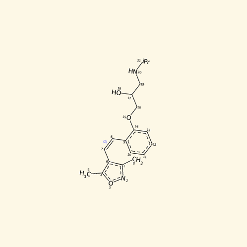 Cc1noc(C)c1/C=C\c1ccccc1OCC(O)CNC(C)C